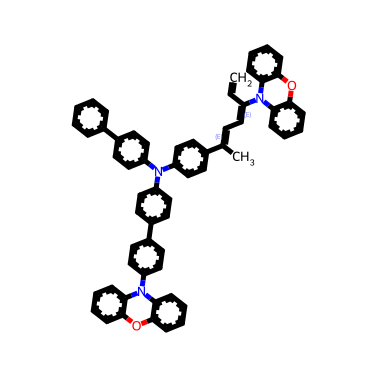 C=C/C(=C\C=C(/C)c1ccc(N(c2ccc(-c3ccccc3)cc2)c2ccc(-c3ccc(N4c5ccccc5Oc5ccccc54)cc3)cc2)cc1)N1c2ccccc2Oc2ccccc21